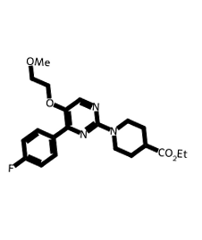 CCOC(=O)C1CCN(c2ncc(OCCOC)c(-c3ccc(F)cc3)n2)CC1